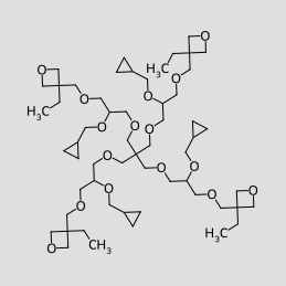 CCC1(COCC(COCC(COCC(COCC2(CC)COC2)OCC2CC2)(COCC(COCC2(CC)COC2)OCC2CC2)COCC(COCC2(CC)COC2)OCC2CC2)OCC2CC2)COC1